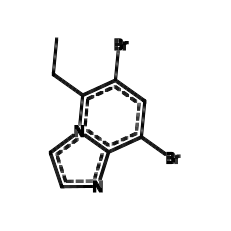 CCc1c(Br)cc(Br)c2nccn12